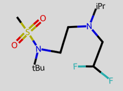 CC(C)N(CCN(C(C)(C)C)S(C)(=O)=O)CC(F)F